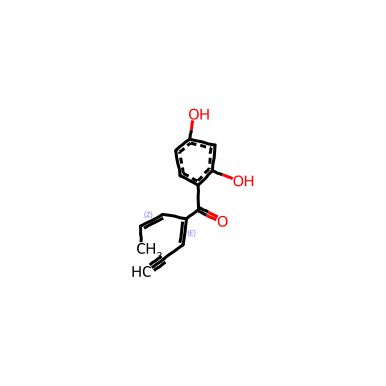 C#C/C=C(\C=C/C)C(=O)c1ccc(O)cc1O